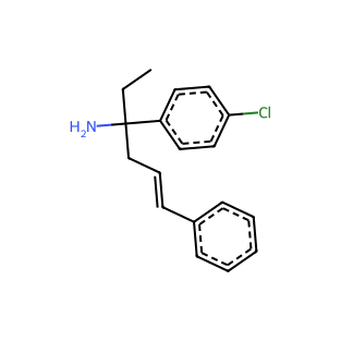 CCC(N)(CC=Cc1ccccc1)c1ccc(Cl)cc1